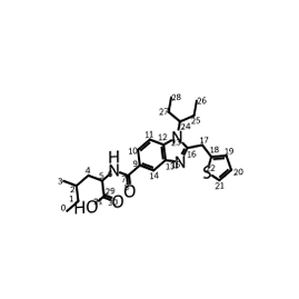 CCC(C)CC(NC(=O)c1ccc2c(c1)nc(Cc1cccs1)n2C(CC)CC)C(=O)O